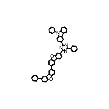 c1ccc(-c2ccc3oc4ccc(-c5ccc6oc7cc(-c8nc(-c9ccccc9)nc(-c9ccc%10c(c9)c9ccccc9n%10-c9ccccc9)n8)ccc7c6c5)cc4c3c2)cc1